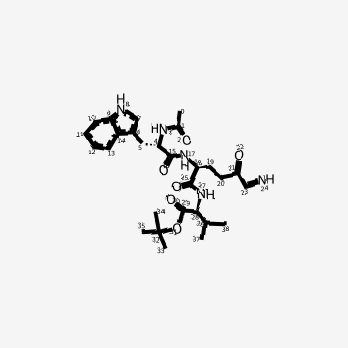 CC(=O)N[C@@H](Cc1c[nH]c2ccccc12)C(=O)N[C@@H](CCC(=O)C=N)C(=O)N[C@H](C(=O)OC(C)(C)C)C(C)C